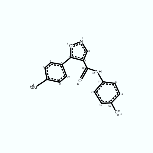 CC(C)(C)c1ccc(-c2oncc2C(=O)Nc2ccc(C(F)(F)F)cc2)cc1